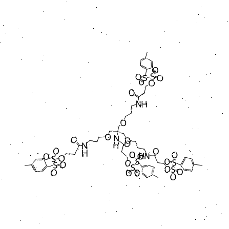 Cc1ccc(S(=O)(=O)S(=O)(=O)OCCC(=O)NCCCOCC(COCCCNC(=O)CCOS(=O)(=O)S(=O)(=O)c2ccc(C)cc2)(COCCCNC(=O)CCOS(=O)(=O)S(=O)(=O)c2ccc(C)cc2)NC(=O)CCOS(=O)(=O)S(=O)(=O)c2ccc(C)cc2)cc1